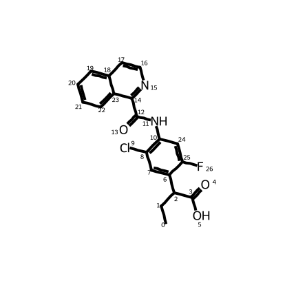 CCC(C(=O)O)c1cc(Cl)c(NC(=O)c2nccc3ccccc23)cc1F